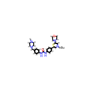 CCCCN1C=C(c2ccc(NC(=O)Nc3ccc(CN4CCN(C)CC4)cc3)cc2)SC(N2CCOCC2)=C1